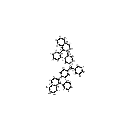 c1ccc(-c2c(-c3ccc(N(c4ccccc4)c4ccc(-c5ccc6ccccc6c5-c5ccccc5)cc4)cc3)ccc3ccccc23)cc1